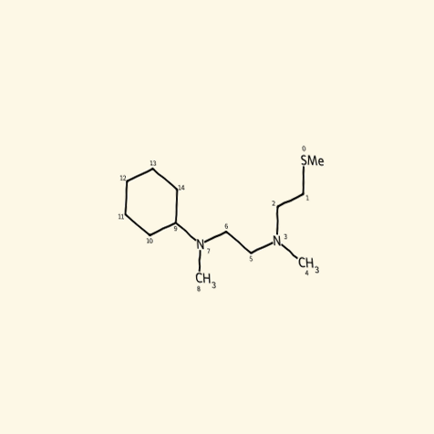 CSCCN(C)CCN(C)C1CCCCC1